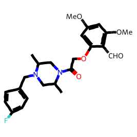 COc1cc(OC)c(C=O)c(OCC(=O)N2CC(C)N(Cc3ccc(F)cc3)CC2C)c1